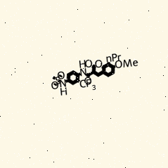 CCCc1c(OC)ccc2cc(C(=O)Nc3ccc(NS(C)(=O)=O)cc3C(F)(F)F)c(=O)oc12